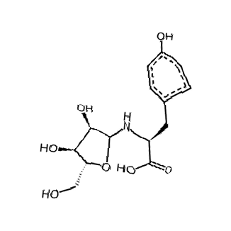 O=C(O)[C@H](Cc1ccc(O)cc1)NC1O[C@H](CO)[C@@H](O)[C@H]1O